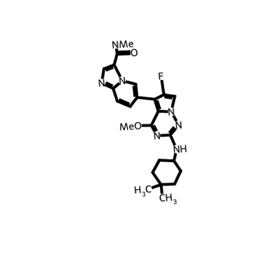 CNC(=O)c1cnc2ccc(-c3c(F)cn4nc(NC5CCC(C)(C)CC5)nc(OC)c34)cn12